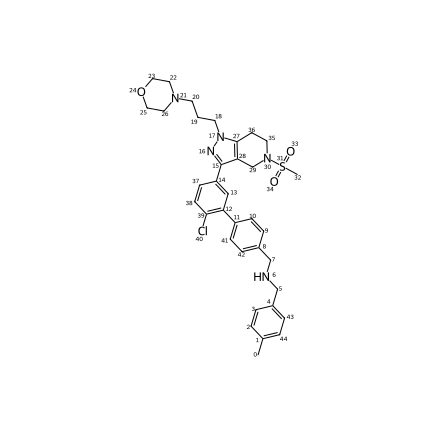 Cc1ccc(CNCc2ccc(-c3cc(-c4nn(CCCN5CCOCC5)c5c4CN(S(C)(=O)=O)CC5)ccc3Cl)cc2)cc1